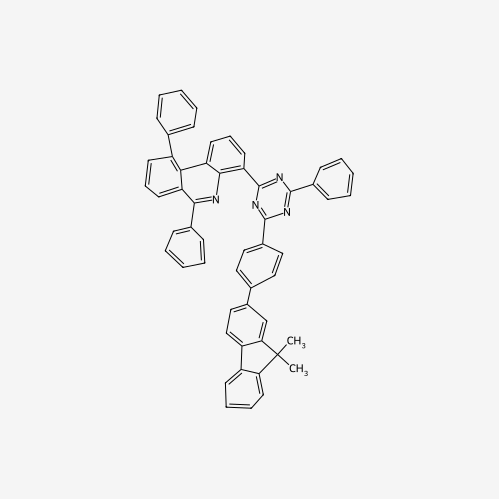 CC1(C)c2ccccc2-c2ccc(-c3ccc(-c4nc(-c5ccccc5)nc(-c5cccc6c5nc(-c5ccccc5)c5cccc(-c7ccccc7)c56)n4)cc3)cc21